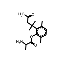 BC(=O)CC(C)(C)c1c(C)ccc(C)c1OC(=O)C(C)N